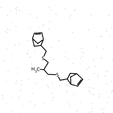 CC(CSCC1CC2C=CC1C2)CSCC1CC2C=CC1C2